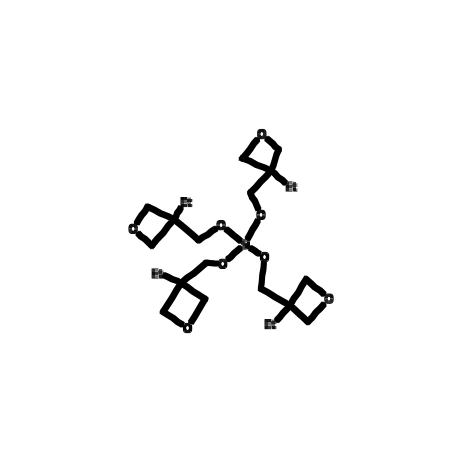 CCC1(CO[Si](OCC2(CC)COC2)(OCC2(CC)COC2)OCC2(CC)COC2)COC1